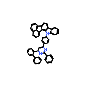 c1ccc(-c2nc(-c3ccc(-n4c5ccccc5c5ccc6c(c54)-c4cccc5cccc-6c45)cc3)cc(-c3ccccc3-c3ccccc3)n2)cc1